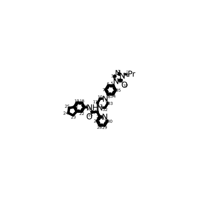 CC(C)n1ncn(-c2ccc(N3CCN(C(C(=O)Nc4ccc5c(c4)CCC5)c4ccccn4)CC3)cc2)c1=O